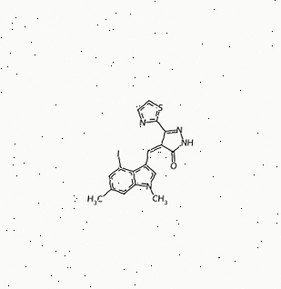 Cc1cc(I)c2c(/C=C3\C(=O)NN=C3c3nccs3)cn(C)c2c1